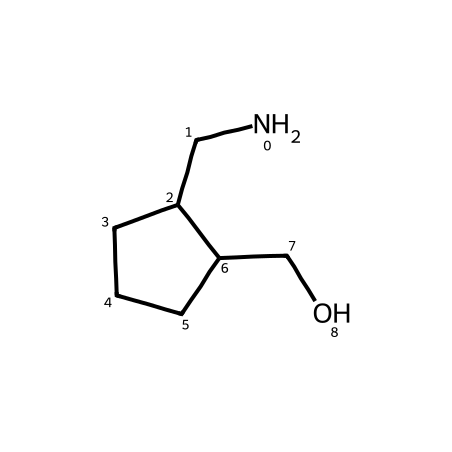 NCC1CCCC1CO